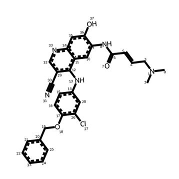 CN(C)C/C=C/C(=O)Nc1cc2c(Nc3ccc(OCc4ccccc4)c(Cl)c3)c(C#N)cnc2cc1O